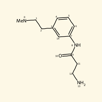 CNCCc1cccc(NC(=O)CCN)c1